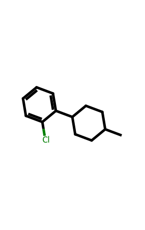 CC1CCC(c2ccccc2Cl)CC1